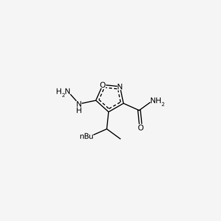 CCCCC(C)c1c(C(N)=O)noc1NN